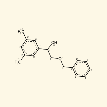 OC(COCc1ccccc1)c1cc(C(F)(F)F)cc(C(F)(F)F)c1